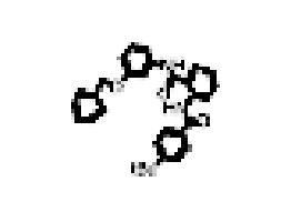 CC(C)(C)c1ccc(C(=O)Nc2ccccc2C(=O)Nc2cccc(OCc3ccccc3)c2)cc1